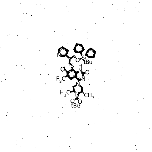 CC1CN(c2nc(=O)[nH]c3c(SCC(CO[Si](c4ccccc4)(c4ccccc4)C(C)(C)C)c4cccnc4)c(Cl)c(C(F)(F)F)cc23)C[C@@H](C)N1C(=O)OC(C)(C)C